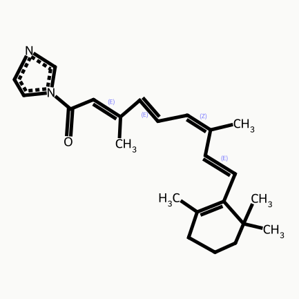 CC1=C(/C=C/C(C)=C\C=C\C(C)=C\C(=O)n2ccnc2)C(C)(C)CCC1